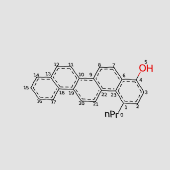 CCCc1ccc(O)c2ccc3c4ccc5ccccc5c4ccc3c12